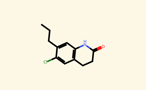 CCCc1cc2c(cc1Cl)CCC(=O)N2